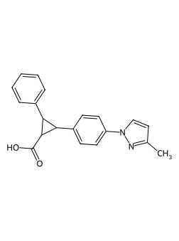 Cc1ccn(-c2ccc(C3C(C(=O)O)C3c3ccccc3)cc2)n1